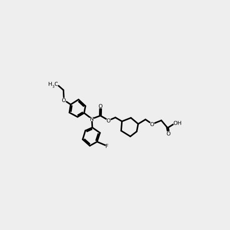 CCOc1ccc(N(C(=O)OCC2CCCC(COCC(=O)O)C2)c2cccc(F)c2)cc1